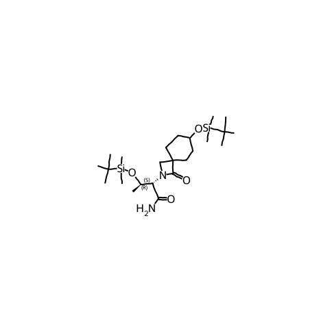 C[C@@H](O[Si](C)(C)C(C)(C)C)[C@@H](C(N)=O)N1CC2(CCC(O[Si](C)(C)C(C)(C)C)CC2)C1=O